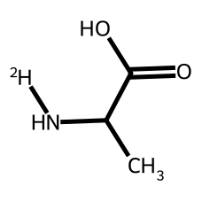 [2H]NC(C)C(=O)O